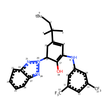 CC(C)(C)CC(C)(C)C1=CC(Nc2cc(C(F)(F)F)cc(C(F)(F)F)c2)=C(O)C(n2nc3ccccc3n2)C1